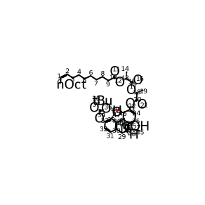 CCCCCCCC/C=C\CCCCCCCC(=O)O[C@@H](C)C(=O)O[C@@H](C)C(=O)OC1=CC[C@@]2(O)[C@H]3Cc4ccc(OC(=O)OC(C)(C)C)c5c4[C@@]2(CCN3C)[C@H]1O5